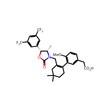 COc1ccc(CC(=O)O)cc1C1=C(CN2C(=O)O[C@H](c3cc(C(F)(F)F)cc(C(F)(F)F)c3)[C@@H]2C)CC(C)(C)CC1